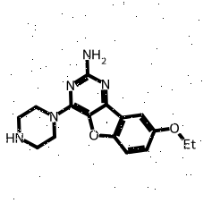 CCOc1ccc2oc3c(N4CCNCC4)nc(N)nc3c2c1